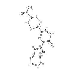 CC(=O)N1CCN(c2cc(-c3nc4ccccc4[nH]3)c(Cl)cn2)CC1